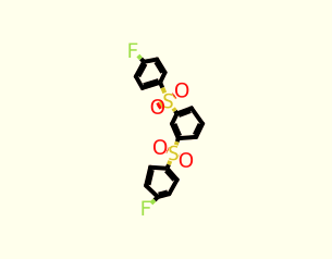 O=S(=O)(c1ccc(F)cc1)c1cccc(S(=O)(=O)c2ccc(F)cc2)c1